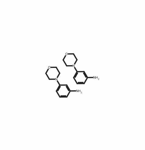 Nc1cccc(N2CCOCC2)c1.Nc1cccc(N2CCOCC2)c1